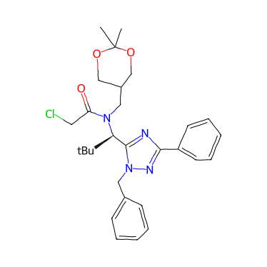 CC1(C)OCC(CN(C(=O)CCl)[C@@H](c2nc(-c3ccccc3)nn2Cc2ccccc2)C(C)(C)C)CO1